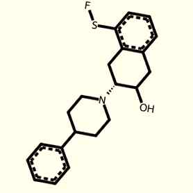 OC1Cc2cccc(SF)c2C[C@H]1N1CCC(c2ccccc2)CC1